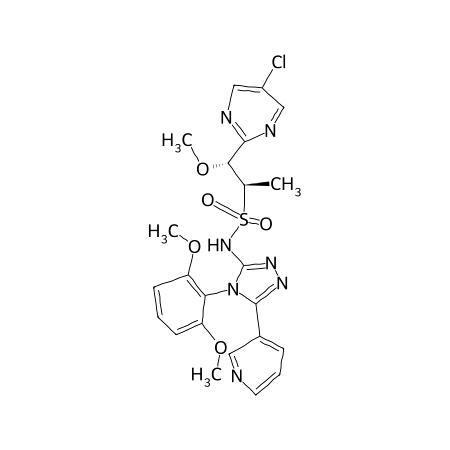 COc1cccc(OC)c1-n1c(NS(=O)(=O)[C@H](C)[C@H](OC)c2ncc(Cl)cn2)nnc1-c1cccnc1